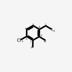 Cc1c(Cl)ccc(CI)c1C